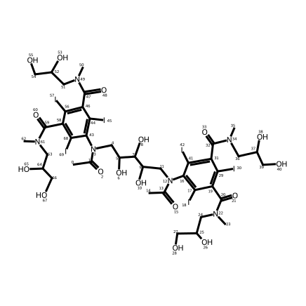 CC(=O)N(CC(O)C(O)C(O)CN(C(C)=O)c1c(I)c(C(=O)N(C)CC(O)CO)c(I)c(C(=O)N(C)CC(O)CO)c1I)c1c(I)c(C(=O)N(C)CC(O)CO)c(I)c(C(=O)N(C)CC(O)CO)c1I